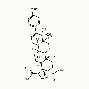 C=C(C)[C@@H]1CC[C@]2(C(=O)NC)CC[C@]3(C)[C@H](CC[C@@H]4[C@@]5(C)CC=C(c6ccc(C=O)cc6)C(C)(C)[C@@H]5CC[C@]43C)[C@@H]12